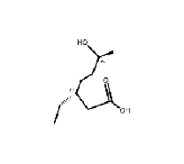 CC[C@H](CC[C@H](C)O)CC(=O)O